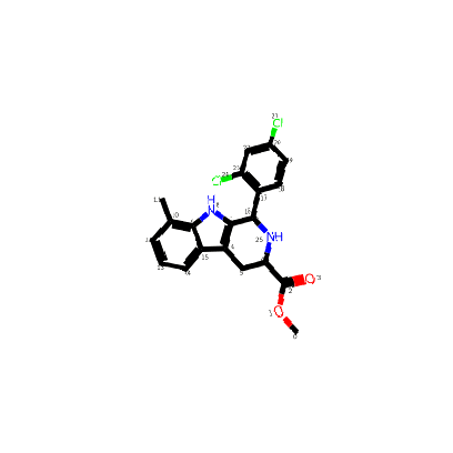 COC(=O)C1Cc2c([nH]c3c(C)cccc23)C(c2ccc(Cl)cc2Cl)N1